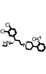 CCNC[C@@H](CCN1CCC(c2ccccc2[S+](C)[O-])CC1)c1ccc(Cl)c(Cl)c1